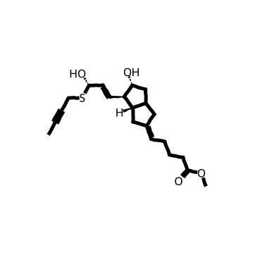 CC#CCS[C@H](O)/C=C/[C@H]1[C@H](O)CC2C/C(=C\CCCC(=O)OC)C[C@@H]21